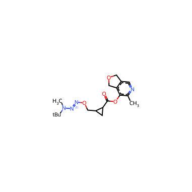 Cc1ncc2c(c1OC(=O)C1CC1CO/N=N/N(C)C(C)(C)C)COC2